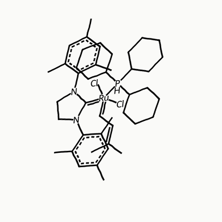 CC(C)=C[CH]=[Ru]([Cl])([Cl])(=[C]1N(c2c(C)cc(C)cc2C)CCN1c1c(C)cc(C)cc1C)[PH](C1CCCCC1)(C1CCCCC1)C1CCCCC1